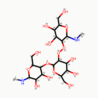 CC(C)NC1OC(CO)C(OC2OC(CO)C(O)C(O)C2OOC2C(NC(C)C)OC(CO)C(O)C2O)C(O)C1O